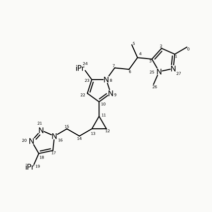 Cc1cc(C(C)CCn2nc(C3CC3CCn3cc(C(C)C)nn3)cc2C(C)C)n(C)n1